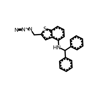 [N-]=[N+]=NCc1cc2c(NC(c3ccccc3)c3ccccc3)cccc2s1